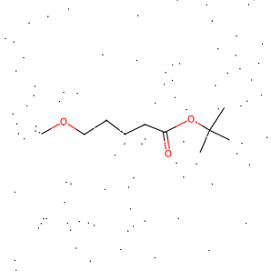 COCCCCC(=O)OC(C)(C)C